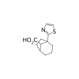 O=C(O)C1C2CCCC1(c1nccs1)CC2